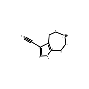 N#Cc1csc2c1CCNCC2